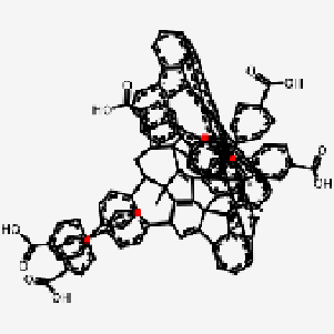 CC12C3=C4C5=C1C1(c6ccc(-c7ccc(C(=O)O)cc7)cc6)c6c7c8c9c(c%10c%11c(ccc%12c%13ccc%14c%15ccc(c6c%15c8c%14c%13c9c%11%12)C1CC2c1ccc(-c2ccc(C(=O)O)cc2)cc1)C(=CC3c1ccc(-c2ccc(C(=O)O)cc2)cc1)C4%10c1ccc(-c2ccc(C(=O)O)cc2)cc1)[C@@]57c1ccc(-c2ccc(C(=O)O)cc2)cc1